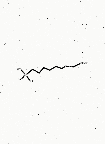 CCCCCCCCCCCCCCCCCC[PH](C(C)C)(C(C)C)C(C)C